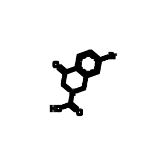 O=C1CN(C(=O)O)Cc2cc(Br)ccc21